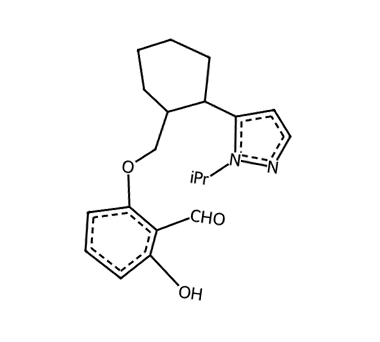 CC(C)n1nccc1C1CCCCC1COc1cccc(O)c1C=O